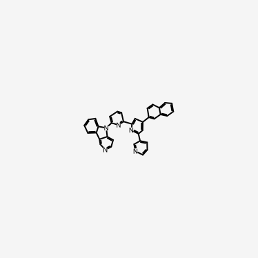 c1cncc(-c2cc(-c3ccc4ccccc4c3)cc(-c3cccc(-n4c5ccccc5c5cnccc54)n3)n2)c1